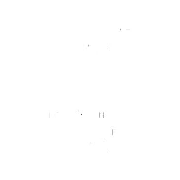 CCOC(=O)c1ccc(-c2nc(C(F)(F)F)cn2C(C)CF)cc1